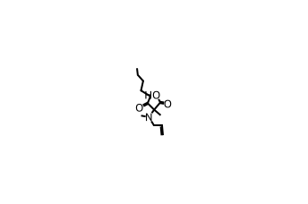 C=CCN(C)C(C)(C(=O)O)C(=O)CCCCC